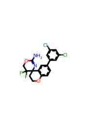 NC1=NC2(CCOc3ccc(-c4cc(Cl)cc(Cl)c4)cc32)C(F)(F)CO1